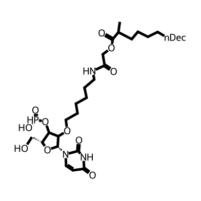 CCCCCCCCCCCCCCC(C)C(=O)OCC(=O)NCCCCCCOC1C(O[PH](=O)O)[C@@H](CO)O[C@H]1n1ccc(=O)[nH]c1=O